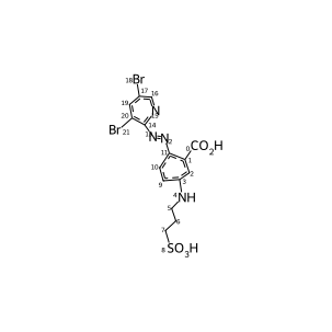 O=C(O)c1cc(NCCCS(=O)(=O)O)ccc1N=Nc1ncc(Br)cc1Br